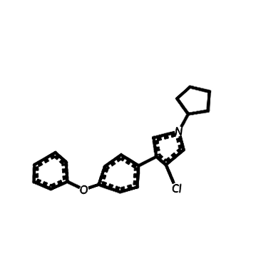 Clc1cn(C2CCCC2)cc1-c1ccc(Oc2ccccc2)cc1